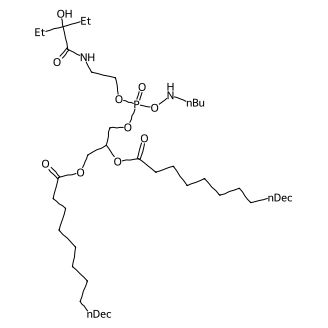 CCCCCCCCCCCCCCCCCC(=O)OCC(COP(=O)(OCCNC(=O)C(O)(CC)CC)ONCCCC)OC(=O)CCCCCCCCCCCCCCCCC